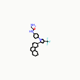 NCC(=O)Nc1ccc(-n2cc(C(F)(F)F)cc2-c2ccc3ccc4ccccc4c3c2)cc1